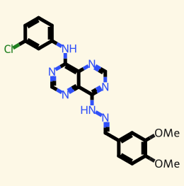 COc1ccc(C=NNc2ncnc3c(Nc4cccc(Cl)c4)ncnc23)cc1OC